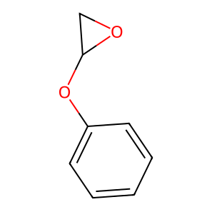 c1ccc(OC2CO2)cc1